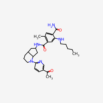 CCCCCNc1cc(C(=O)NC2CC3CCCN(c4ccc(C(C)=O)cn4)C3C2)c(C)cc1C(N)=O